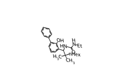 CCCCCCC(C)(C)C(NC(=O)NCC)c1cccc(-c2ccccc2)c1O